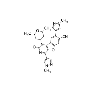 C[C@@H]1C[C@H](n2c(=O)nc(-c3cnn(C)c3)c3oc4cc(C#N)c(-c5cnn(C)c5)cc4c32)C[C@H](C)O1